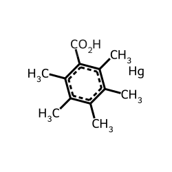 Cc1c(C)c(C)c(C(=O)O)c(C)c1C.[Hg]